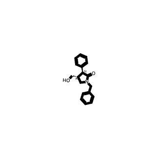 O=C1[C@H](c2ccccc2)[C@@H](CO)CN1Cc1ccccc1